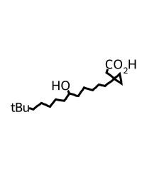 CC(C)(C)CCCCCC(O)CCCCCC1(CC(=O)O)CC1